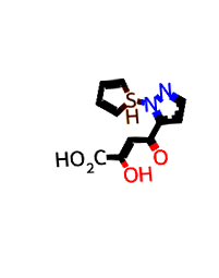 O=C(O)C(O)=CC(=O)c1ccnn1[SH]1C=CC=C1